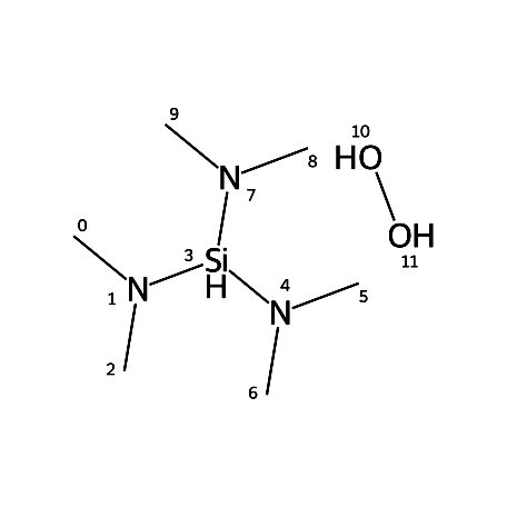 CN(C)[SiH](N(C)C)N(C)C.OO